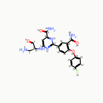 NC[C@@H](C=O)Nc1cc(C(N)=O)nc(-c2ccc(Oc3ccc(F)cc3)c(C(N)=O)c2)n1